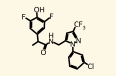 CC(C(=O)NCc1cc(C(F)(F)F)nn1-c1cccc(Cl)c1)c1cc(F)c(O)c(F)c1